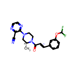 C[C@@H]1CN(c2nccnc2C#N)CCN1C(=O)/C=C/c1cccc(OC(F)F)c1